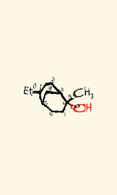 CCC1CC2CC1CCC2(C)O